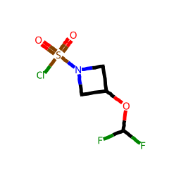 O=S(=O)(Cl)N1CC(OC(F)F)C1